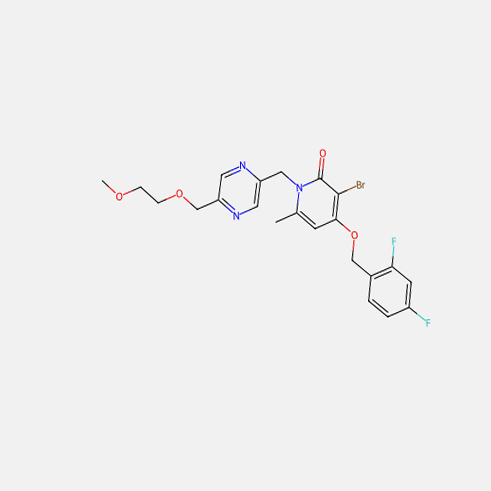 COCCOCc1cnc(Cn2c(C)cc(OCc3ccc(F)cc3F)c(Br)c2=O)cn1